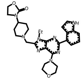 CCn1c(CN2CCC(N3CCOC3=O)CC2)nc2c(N3CCOCC3)nc(-c3cccc4[nH]ccc34)nc21